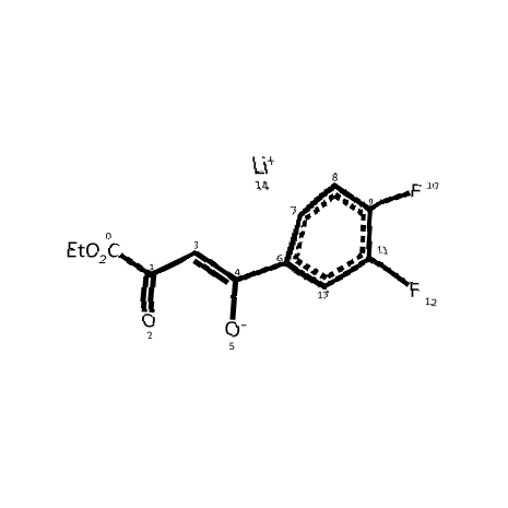 CCOC(=O)C(=O)C=C([O-])c1ccc(F)c(F)c1.[Li+]